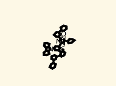 c1ccc(-c2cccc(-c3cccc4sc5c(-c6nc(-c7ccccc7)nc(-c7cccc8c7oc7ccccc78)n6)cc(-n6c7ccccc7c7ccccc76)cc5c34)c2)cc1